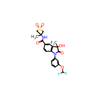 CC1(NC(=O)c2ccc3c(c2)C(O)(C(F)(F)F)C(=O)N3c2cccc(OC(F)F)c2)CS(=O)(=O)C1